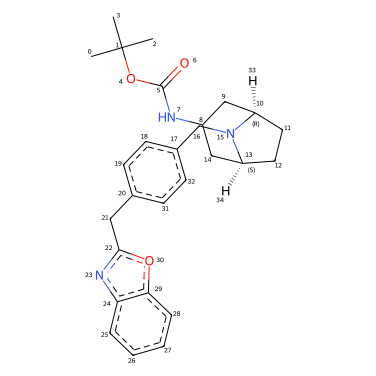 CC(C)(C)OC(=O)NC1C[C@H]2CC[C@@H](C1)N2Cc1ccc(Cc2nc3ccccc3o2)cc1